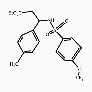 CCOC(=O)CC(NS(=O)(=O)c1ccc(OC(F)(F)F)cc1)c1ccc(C)cc1